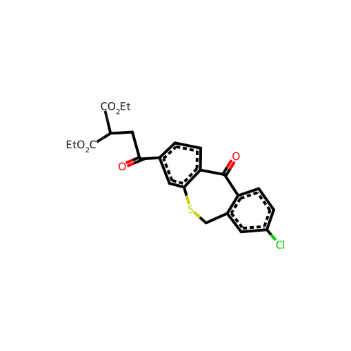 CCOC(=O)C(CC(=O)c1ccc2c(c1)SCc1cc(Cl)ccc1C2=O)C(=O)OCC